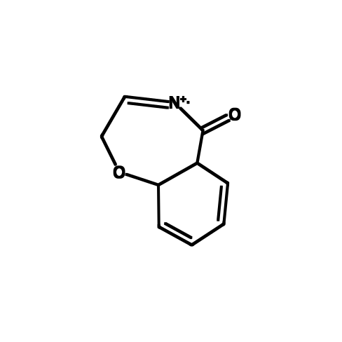 O=C1[N+]=CCOC2C=CC=CC12